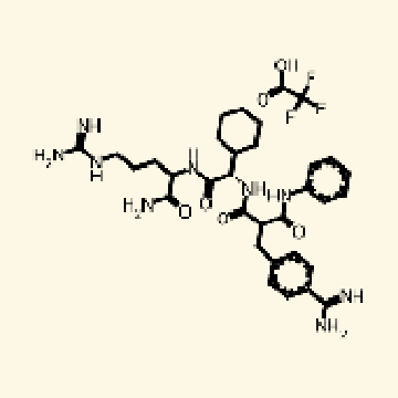 N=C(N)NCCCC(NC(=O)[C@@H](NC(=O)C(Cc1ccc(C(=N)N)cc1)C(=O)Nc1ccccc1)C1CCCCC1)C(N)=O.O=C(O)C(F)(F)F